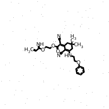 C=CC(=N)OCCOC(=O)/C(C#N)=C1/CC(C)(C)CC(NCCOc2ccccc2)=C1C#N